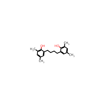 Cc1cc(C)c(O)c(CCCCc2cc(C)cc(C)c2O)c1